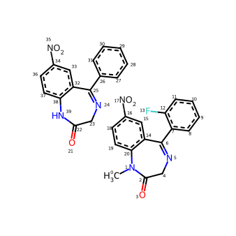 CN1C(=O)CN=C(c2ccccc2F)c2cc([N+](=O)[O-])ccc21.O=C1CN=C(c2ccccc2)c2cc([N+](=O)[O-])ccc2N1